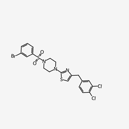 O=S(=O)(c1cccc(Br)c1)N1CCN(c2nc(Cc3ccc(Cl)c(Cl)c3)cs2)CC1